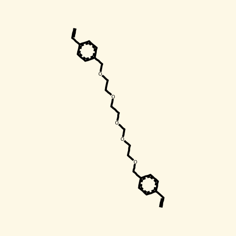 C=Cc1ccc(COCCOCCOCOCCOCc2ccc(C=C)cc2)cc1